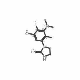 Cc1c(N2CCNC2=N)cc(Cl)c(F)c1N(C)C